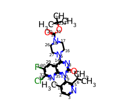 Cc1ccnc(C(C)C)c1-n1c(=O)nc(N2CCN(C(=O)OC(C)(C)C)CC2)c2cc(F)c(Cl)nc21